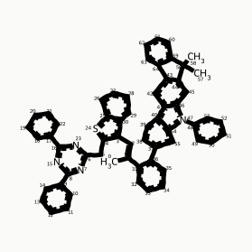 C/C(=C\c1c(Cc2nc(-c3ccccc3)nc(-c3ccccc3)n2)sc2ccccc12)c1ccccc1-c1ccc2c3cc4c(cc3n(-c3ccccc3)c2c1)C(C)(C)c1ccccc1-4